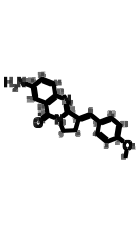 COc1ccc(C=C2CCn3c2nc2ccc(N)cc2c3=O)cc1